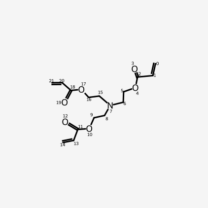 C=CC(=O)OCCN(CCOC(=O)C=C)CCOC(=O)C=C